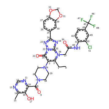 CCc1c(N2CCN(C(=O)c3ncnc(C)c3O)CC2)c(=O)n2nc(-c3ccc4c(c3)OCO4)nc2n1CC(=O)Nc1ccc(C(F)(F)F)cc1Cl